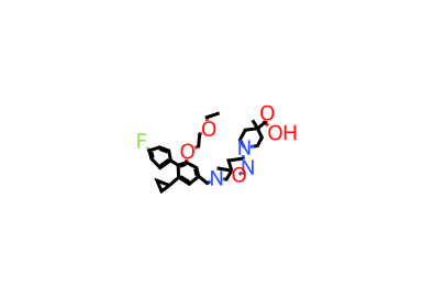 CCOCCOc1cc(CN2CC3(CC(N4CCC(C)(C(=O)O)CC4)=NO3)C2)cc(C2CC2)c1-c1ccc(F)cc1